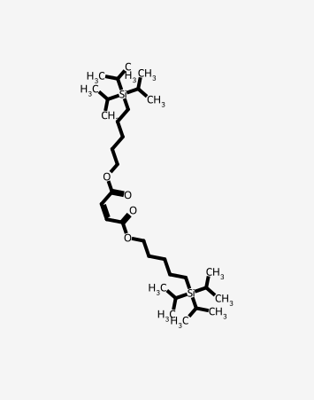 CC(C)[Si](CCCCCOC(=O)/C=C\C(=O)OCCCCC[Si](C(C)C)(C(C)C)C(C)C)(C(C)C)C(C)C